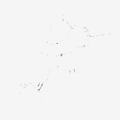 C=N/C(Cl)=C\N=C(/C)C(F)(F)C1(c2ccc(F)cc2F)CO1